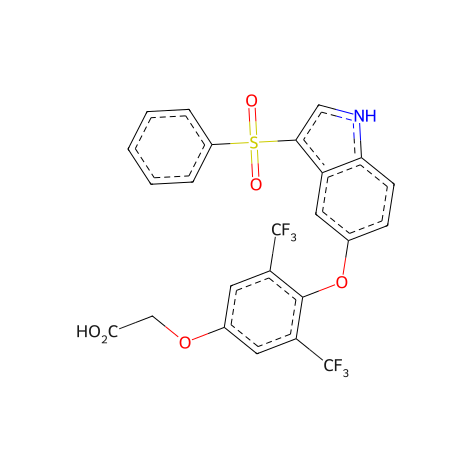 O=C(O)COc1cc(C(F)(F)F)c(Oc2ccc3[nH]cc(S(=O)(=O)c4ccccc4)c3c2)c(C(F)(F)F)c1